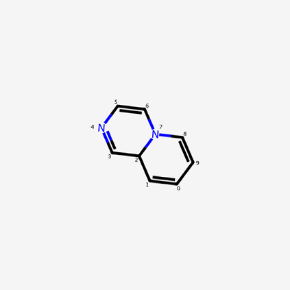 C1=C[C]2C=NC=CN2C=C1